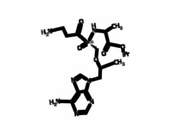 CC(C)OC(=O)C(C)N[P@](=O)(COC(C)Cn1cnc2c(N)ncnc21)C(=O)CCN